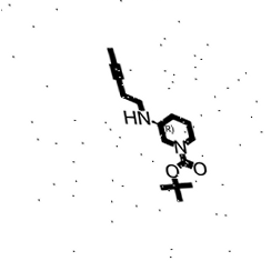 CC#CCCN[C@@H]1CCCN(C(=O)OC(C)(C)C)C1